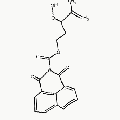 C=C(C)C(CCOC(=O)N1C(=O)c2cccc3cccc(c23)C1=O)OO